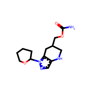 NC(=O)OCC1CNc2cnn(C3CCCCO3)c2C1